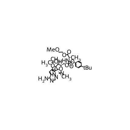 CN=C[C@@]1(c2ccc3c(N)ncnn23)O[C@H](COP(=O)(N[C@@H](C)C(=O)OCCOC)Oc2ccc(C(C)(C)C)cc2)[C@H]2OC(C)(C)O[C@H]21